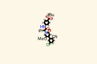 COc1cn(C(C(=O)Nc2ccc(C(=O)OC(C)(C)C)cc2)C(C)C)c(=O)cc1-c1cc(Cl)ccc1C#N